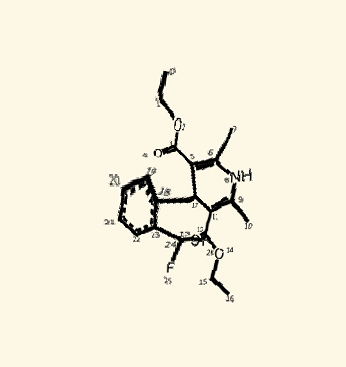 CCOC(=O)C1=C(C)NC(C)=C(C(=O)OCC)C1c1ccccc1C(F)F